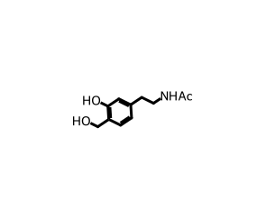 CC(=O)NCCc1ccc(CO)c(O)c1